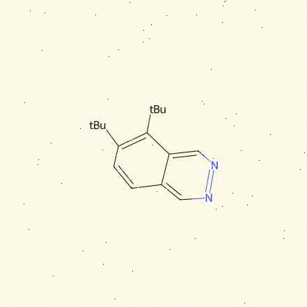 CC(C)(C)c1ccc2cnncc2c1C(C)(C)C